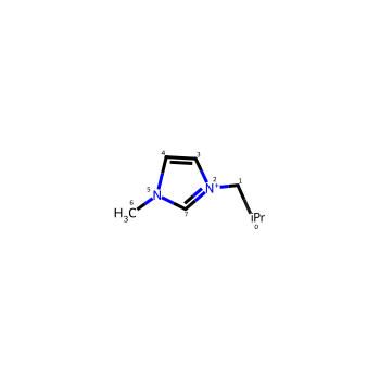 CC(C)C[n+]1ccn(C)c1